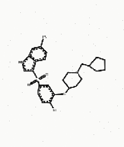 N#Cc1ccc2c(S(=O)(=O)c3ccc(Br)c(NC4CCN(CC5CCCC5)CC4)c3)c[nH]c2c1